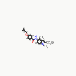 CCOC(=O)c1cc2c(C)c(NC(=O)c3ccc(OCC4CC4)cc3)ccc2n1C